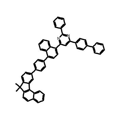 CC1(C)c2ccc(-c3ccc(-c4ccc(-c5cc(-c6ccc(-c7ccccc7)cc6)nc(-c6ccccc6)n5)c5ccccc45)cc3)cc2-c2c1ccc1ccccc21